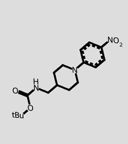 CC(C)(C)OC(=O)NCC1CCN(c2ccc([N+](=O)[O-])cc2)CC1